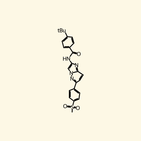 CC(C)(C)c1ccc(C(=O)Nc2cn3nc(-c4ccc(S(C)(=O)=O)cc4)ccc3n2)cc1